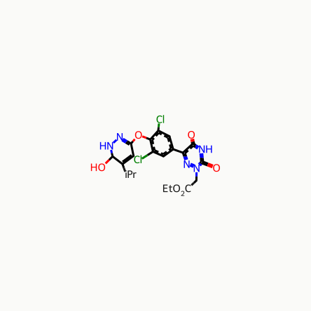 CCOC(=O)Cn1nc(-c2cc(Cl)c(OC3=NNC(O)C(C(C)C)=C3)c(Cl)c2)c(=O)[nH]c1=O